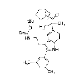 Cc1cc(C)cc(-c2[nH]c3ccc(C(C)(C)C(=O)N4C5CCC4CC5)cc3c2CCNC(=O)OC(C)(C)C)c1